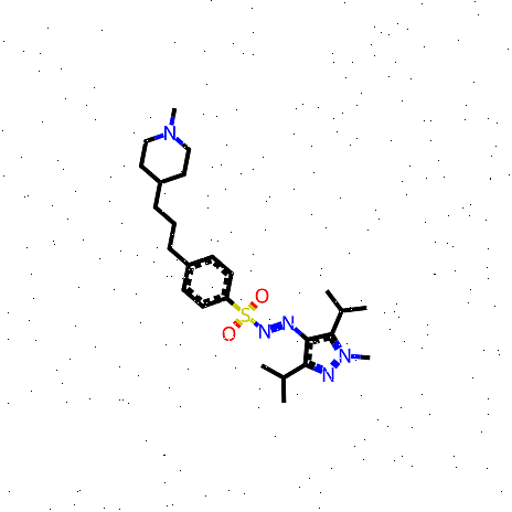 CC(C)c1nn(C)c(C(C)C)c1N=NS(=O)(=O)c1ccc(CCCC2CCN(C)CC2)cc1